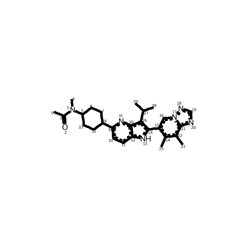 CC(=O)N(C)C1CCC(c2ccc3[nH]c(-c4cn5ncnc5c(C)c4C)c(C(C)C)c3n2)CC1